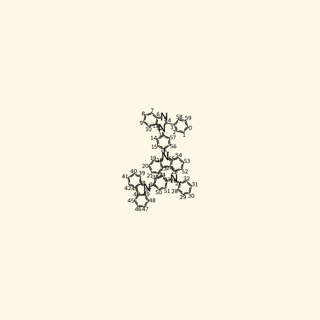 c1ccc(-c2nc3ccccc3n2-c2ccc(-n3c4ccccc4c4c(N(c5ccccc5)c5ccc(-n6c7ccccc7c7ccccc76)cc5)cccc43)cc2)cc1